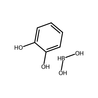 OBO.Oc1ccccc1O